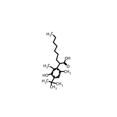 CCCCCCCC(C(=O)O)c1c(C)cc(C(C)(C)C)c(O)c1C